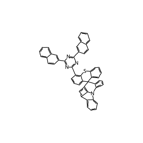 c1ccc2c(c1)Sc1c(-c3nc(-c4ccc5ccccc5c4)nc(-c4ccc5ccccc5c4)n3)cccc1C21c2ccccc2-n2c3ccccc3c3cccc1c32